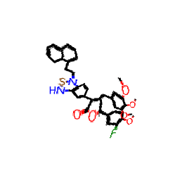 COc1ccc([C]2OC(=O)C(c3ccc4c(c3)NSN4CCc3cccc4ccccc34)=C2Cc2cc(OC)c(OC)c(OC)c2)cc1F